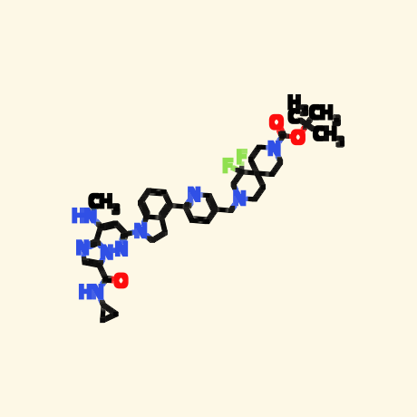 CNc1cc(N2CCc3c(-c4ccc(CN5CCC6(CCN(C(=O)OC(C)(C)C)CC6)C(F)(F)C5)cn4)cccc32)nn2c(C(=O)NC3CC3)cnc12